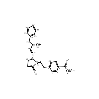 COC(=O)c1ccc(CCN2C(=O)CC[C@@H]2/C=C/[C@@H](O)Cc2ccccc2)cc1